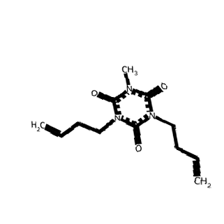 C=CCCn1c(=O)n(C)c(=O)n(CCC=C)c1=O